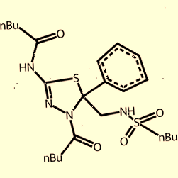 CCCCC(=O)NC1=NN(C(=O)CCCC)C(CNS(=O)(=O)CCCC)(c2ccccc2)S1